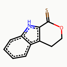 S=C1OCCc2c1[nH]c1ccccc21